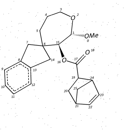 CO[C@H]1OCCCC2(Cc3ccccc3C2)[C@@H]1OC(=O)C1CC2C=CC1C2